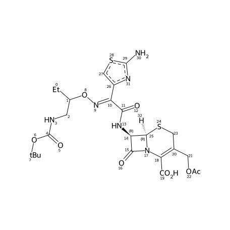 CCC(CNC(=O)OC(C)(C)C)ON=C(C(=O)N[C@@H]1C(=O)N2C(C(=O)O)=C(COC(C)=O)CS[C@H]12)c1csc(N)n1